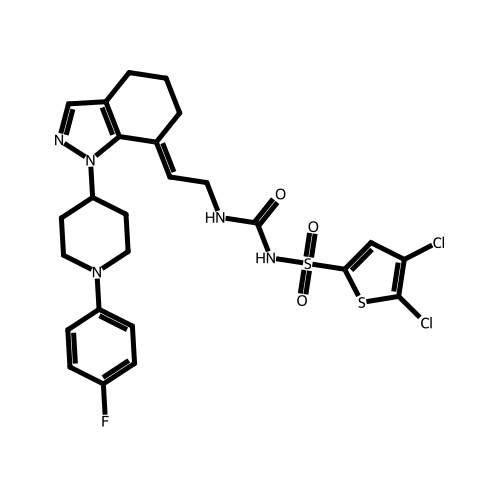 O=C(NCC=C1CCCc2cnn(C3CCN(c4ccc(F)cc4)CC3)c21)NS(=O)(=O)c1cc(Cl)c(Cl)s1